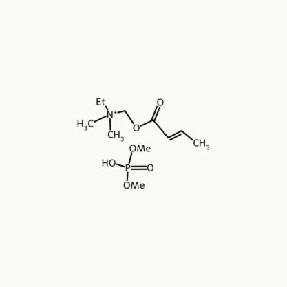 CC=CC(=O)OC[N+](C)(C)CC.COP(=O)(O)OC